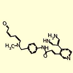 CN(/C=C\C=C/C=O)Cc1ccc(NC(=O)/C=C/c2cnccc2/C(C=N)=C/N)cc1